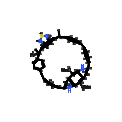 CCC1(C)c2ccc(cc2)-c2ccc(cc2)-c2cc3c(OC)c4[nH]c(cc4c(OC)c3[nH]2)-c2ccc(cc2)-c2ccc(cc2)C(C)c2ccc1c1nsnc21